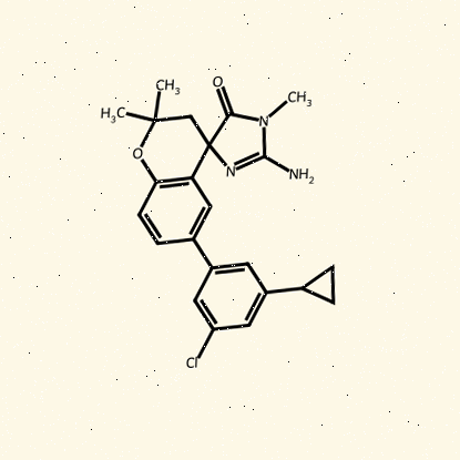 CN1C(=O)C2(CC(C)(C)Oc3ccc(-c4cc(Cl)cc(C5CC5)c4)cc32)N=C1N